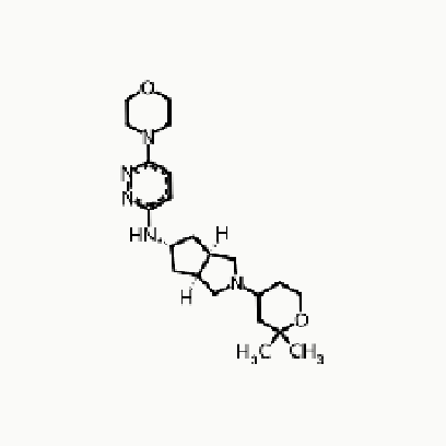 CC1(C)CC(N2C[C@H]3C[C@H](Nc4ccc(N5CCOCC5)nn4)C[C@H]3C2)CCO1